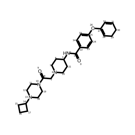 O=C(NC1CCN(CC(=O)N2CCN(C3CCC3)CC2)CC1)c1ccc(OC2=CCCC=C2)cc1